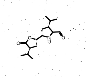 CC(C)[C@@H]1C[C@@H]([C@@H]2C[C@@H](C(C)C)C(=O)O2)NC1C=O